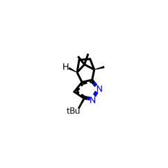 CC(C)(C)c1cc2c(nn1)[C@@]1(C)CC[C@@H]2C1(C)C